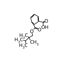 CC(C)C(C)(C)COC(=O)c1ccccc1C(=O)O